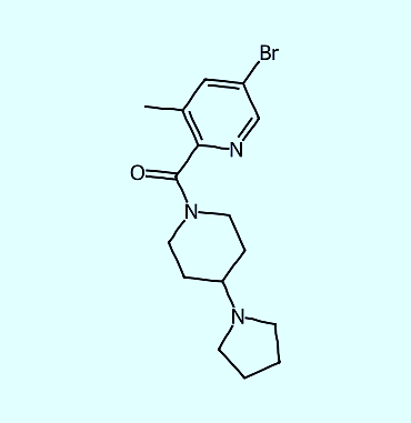 Cc1cc(Br)cnc1C(=O)N1CCC(N2CCCC2)CC1